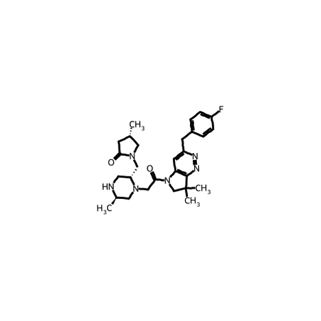 C[C@H]1CC(=O)N(C[C@H]2CN[C@H](C)CN2CC(=O)N2CC(C)(C)c3nnc(Cc4ccc(F)cc4)cc32)C1